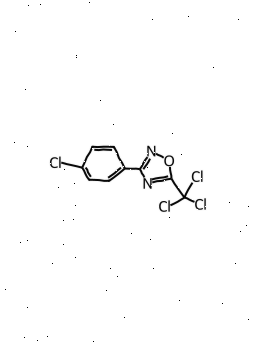 Clc1ccc(-c2noc(C(Cl)(Cl)Cl)n2)cc1